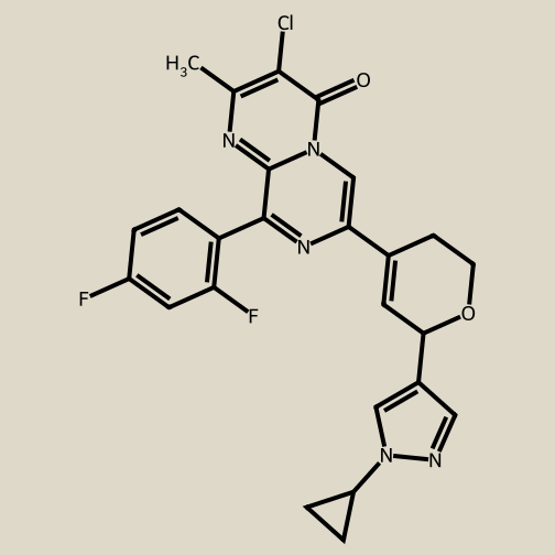 Cc1nc2c(-c3ccc(F)cc3F)nc(C3=CC(c4cnn(C5CC5)c4)OCC3)cn2c(=O)c1Cl